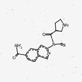 N#CN(C(=O)C1CCNC1)c1cc2cc(C(N)=O)ccc2cn1